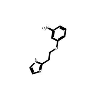 O=[N+]([O-])c1cccc(OCCc2ncc[nH]2)c1